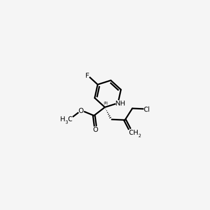 C=C(CCl)C[C@]1(C(=O)OC)C=C(F)C=CN1